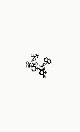 CC(C)(C)C(=O)OCN1C(=O)N[C@@]2(CCCN(c3nc(OC[C@@]45CCCN4C[C@H](F)C5)nc4c(F)c(Br)ccc34)C2)C1=O